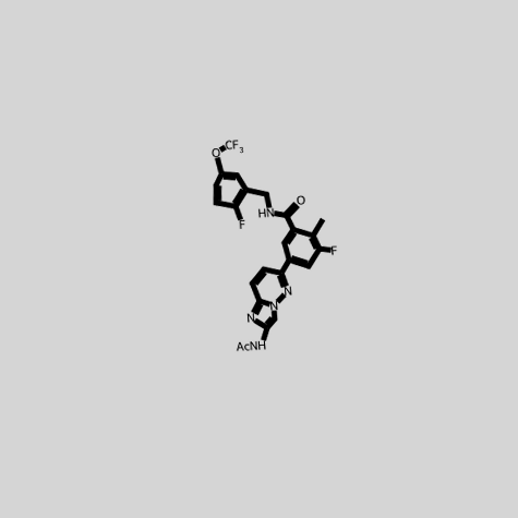 CC(=O)Nc1cn2nc(-c3cc(F)c(C)c(C(=O)NCc4cc(OC(F)(F)F)ccc4F)c3)ccc2n1